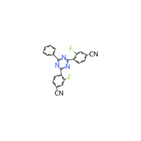 N#Cc1ccc(-c2nc(-c3ccccc3)nc(-c3ccc(C#N)cc3F)n2)c(F)c1